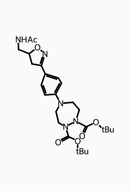 CC(=O)NCC1CC(c2ccc(N3CCN(C(=O)OC(C)(C)C)N(C(=O)OC(C)(C)C)CC3)cc2)=NO1